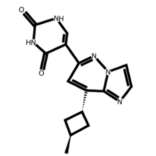 C[C@H]1C[C@H](c2cc(-c3c[nH]c(=O)[nH]c3=O)nn3ccnc23)C1